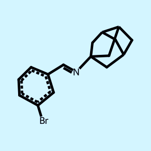 Brc1cccc(/C=N/C23CC4CC(C2)C(C4)C3)c1